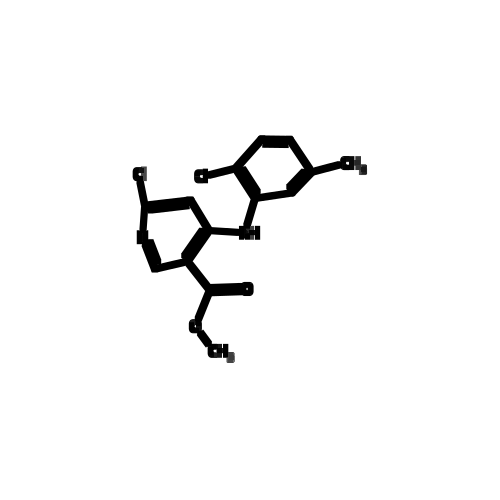 COC(=O)c1cnc(Cl)cc1Nc1cc(C)ccc1Cl